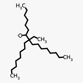 CCCCCCCCC(CC)(CCCCCCCC)C([O])CCCCCC